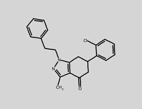 Cc1nn(CCc2ccccc2)c2c1C(=O)CC(c1ccccc1Cl)C2